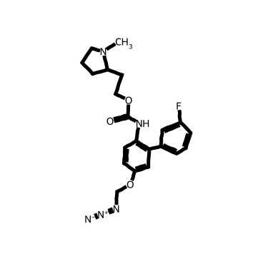 CN1CCCC1CCOC(=O)Nc1ccc(OCN=[N+]=[N-])cc1-c1cccc(F)c1